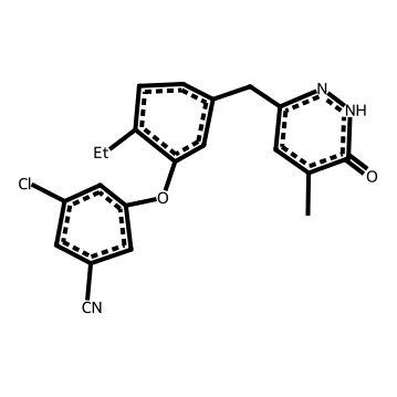 CCc1ccc(Cc2cc(C)c(=O)[nH]n2)cc1Oc1cc(Cl)cc(C#N)c1